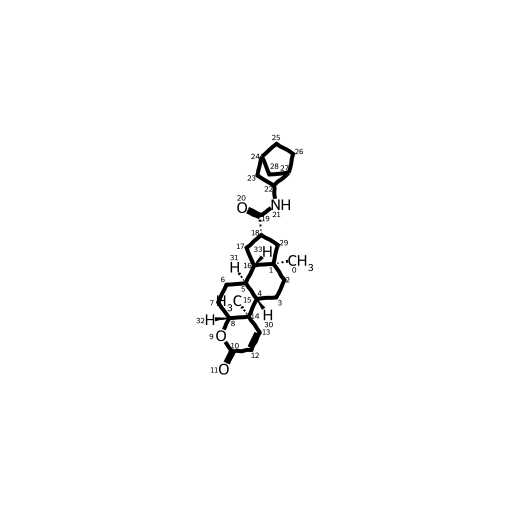 C[C@]12CC[C@H]3[C@@H](CC[C@H]4OC(=O)C=C[C@@]43C)[C@@H]1C[C@H](C(=O)NC1CC3CCC1C3)C2